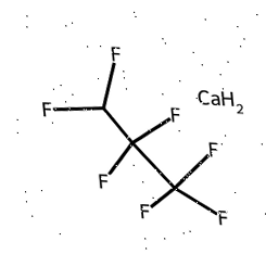 FC(F)C(F)(F)C(F)(F)F.[CaH2]